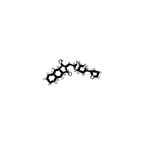 O=C1C(=Cc2nc3sc(-c4ccco4)cc3s2)C(=O)c2cc3ccccc3cc21